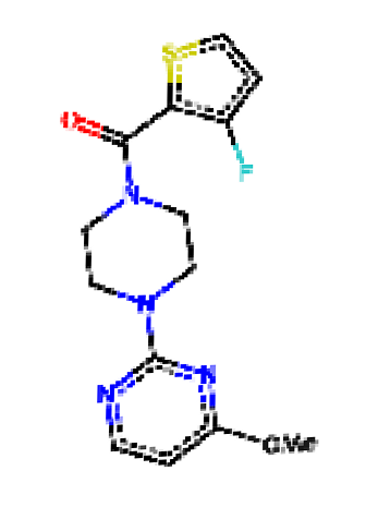 COc1ccnc(N2CCN(C(=O)c3sccc3F)CC2)n1